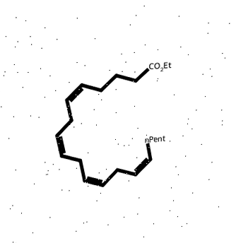 CCCCC/C=C\C/C=C\C/C=C\C/C=C\CCCC(=O)OCC